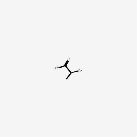 CC(C)C(=O)[C@H](C)C(C)C